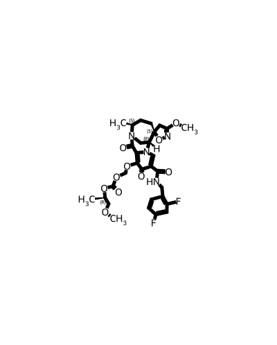 COC[C@@H](C)OC(=O)OCOc1c2n(cc(C(=O)NCc3ccc(F)cc3F)c1=O)[C@@H]1CN(C2=O)[C@@H](C)CC[C@]12CC(OC)=NO2